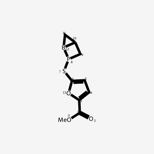 COC(=O)c1ccc(SP2CC3CB32)o1